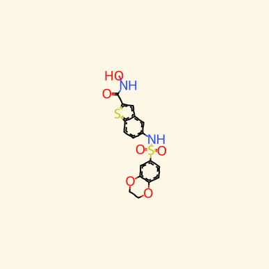 O=C(NO)c1cc2cc(NS(=O)(=O)c3ccc4c(c3)OCCO4)ccc2s1